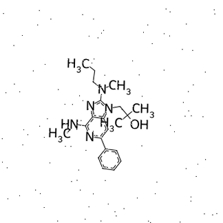 CCCN(C)c1nc2c(NC)nc(-c3ccccc3)cc2n1CC(C)(C)O